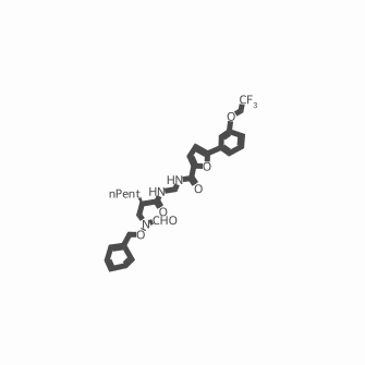 CCCCC[C@H](CN(C=O)OCc1ccccc1)C(=O)NCNC(=O)c1ccc(-c2cccc(OCC(F)(F)F)c2)o1